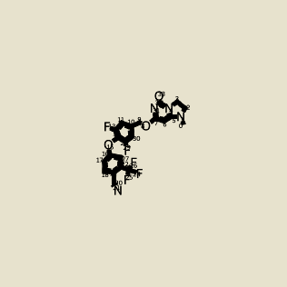 CN1CCn2c1cc(OCc1cc(F)c(Oc3ccc(C#N)c(C(F)(F)F)c3)c(F)c1)nc2=O